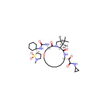 CN1CC[C@@H](C2(NC(=O)N[C@H]3COCCCCCCC[C@@H](C(=O)C(=O)NC4CC4)NC(=O)[C@@H]4[C@@H]5[C@H](CN4C3=O)C5(C)C)CCCCC2)S1(=O)=O